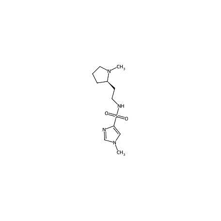 CN1CCC[C@@H]1CCNS(=O)(=O)c1cn(C)cn1